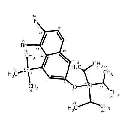 CC(C)[Si](Oc1c[c]([Sn]([CH3])([CH3])[CH3])c2c(Br)c(F)ccc2c1)(C(C)C)C(C)C